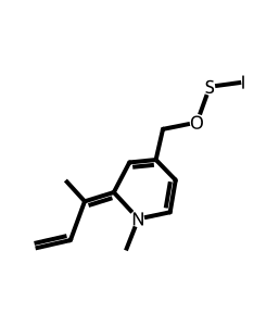 C=C/C(C)=C1/C=C(COSI)C=CN1C